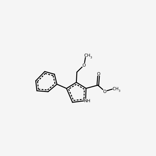 COCc1c(-c2ccccc2)c[nH]c1C(=O)OC